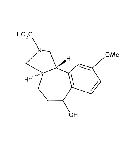 COc1ccc2c(c1)[C@H]1CN(C(=O)O)C[C@@H]1CCC2O